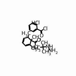 CC(C)(C)NN.CC1=CC=CC(C)C1(C)C(=O)Cl.Cl.O=C(Cl)c1ccccc1